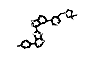 Fc1ccc(-c2ccnc3[nH]c(-c4n[nH]c5ccc(-c6cncc(CN7CCC(F)(F)C7)c6)cc45)nc23)cc1